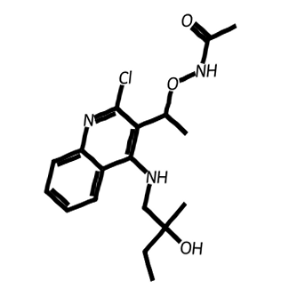 CCC(C)(O)CNc1c(C(C)ONC(C)=O)c(Cl)nc2ccccc12